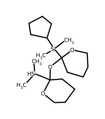 C[SiH](C)C1(OC2([Si](C)(C)C3CCCC3)CCCCO2)CCCCO1